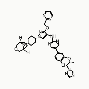 C[C@@H](Cn1cncn1)Oc1cc(-c2cnc(Nc3cn([C@H]4CC[C@H](N5[C@@H]6CC[C@H]5COC6)CC4)nc3OCc3ncccn3)nc2)ccc1Cl